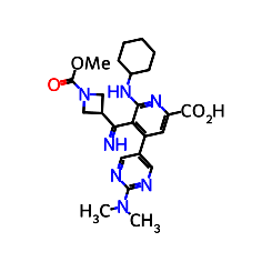 COC(=O)N1CC(C(=N)c2c(-c3cnc(N(C)C)nc3)cc(C(=O)O)nc2NC2CCCCC2)C1